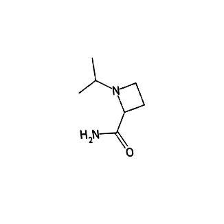 CC(C)N1CCC1C(N)=O